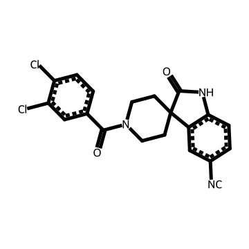 [C-]#[N+]c1ccc2c(c1)C1(CCN(C(=O)c3ccc(Cl)c(Cl)c3)CC1)C(=O)N2